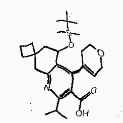 CC(C)c1nc2c(c(C3=CCOCC3)c1C(=O)O)C(O[Si](C)(C)C(C)(C)C)CC1(CCC1)C2